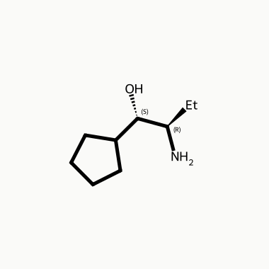 CC[C@@H](N)[C@@H](O)C1CCCC1